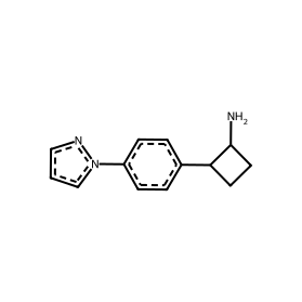 NC1CCC1c1ccc(-n2cccn2)cc1